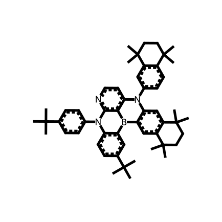 CC(C)(C)c1ccc(N2c3ccc(C(C)(C)C)cc3B3c4cc5c(cc4N(c4ccc6c(c4)C(C)(C)CCC6(C)C)c4ccnc2c43)C(C)(C)CCC5(C)C)cc1